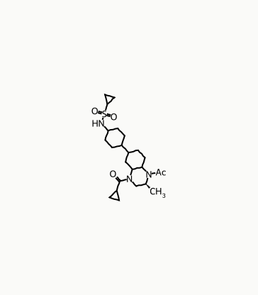 CC(=O)N1C2CCC(C3CCC(NS(=O)(=O)C4CC4)CC3)CC2N(C(=O)C2CC2)C[C@@H]1C